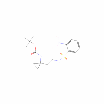 CC(C)(C)OC(=O)NC1(CCNS(=O)(=O)c2ccccc2[NH+]([O-])O)CC1